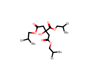 CCC(COC(=O)CC(O)(CC(=O)OCC(CC)C(C)(C)C)C(=O)OCC(CC)C(C)(C)C)C(C)(C)C